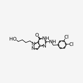 O=c1[nH]c(NCc2ccc(Cl)c(Cl)c2)nc2cnn(CCCCO)c12